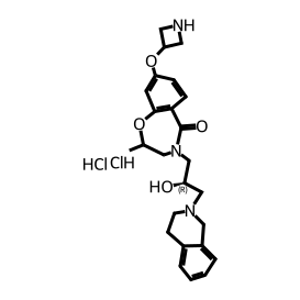 CC1CN(C[C@H](O)CN2CCc3ccccc3C2)C(=O)c2ccc(OC3CNC3)cc2O1.Cl.Cl